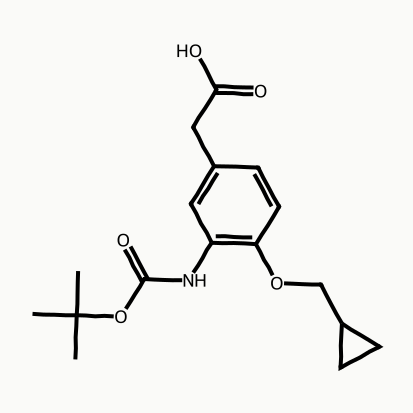 CC(C)(C)OC(=O)Nc1cc(CC(=O)O)ccc1OCC1CC1